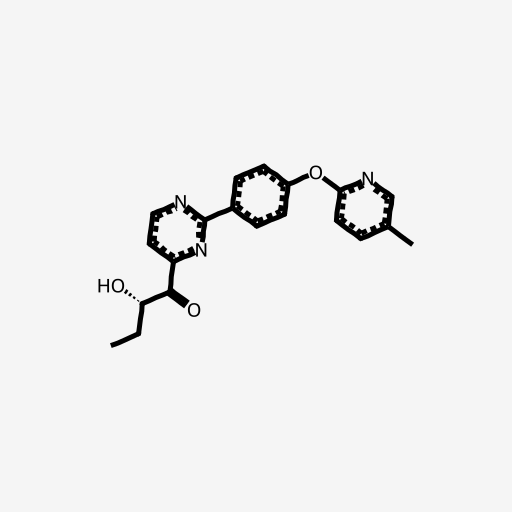 CC[C@H](O)C(=O)c1ccnc(-c2ccc(Oc3ccc(C)cn3)cc2)n1